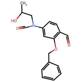 CC(O)CN(C=O)c1ccc(C=O)c(OCc2ccccc2)c1